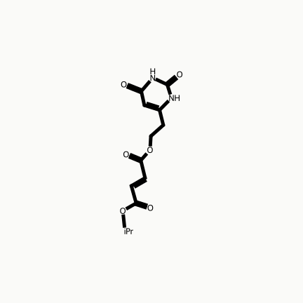 CC(C)OC(=O)/C=C/C(=O)OCCc1cc(=O)[nH]c(=O)[nH]1